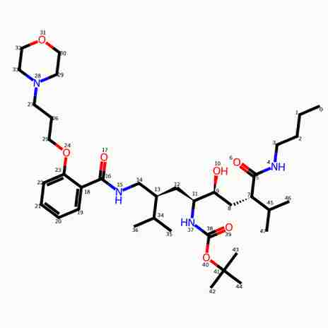 CCCCNC(=O)[C@@H](C[C@H](O)[C@H](C[C@H](CNC(=O)c1ccccc1OCCCN1CCOCC1)C(C)C)NC(=O)OC(C)(C)C)C(C)C